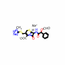 Cn1nnnc1SCC1=C(C(=O)[O-])N2C(=O)C(NC(=O)C(OC=O)c3ccccc3)[C@@H]2SC1.[Na+]